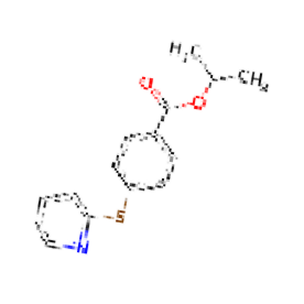 CC(C)OC(=O)c1ccc(Sc2ccccn2)cc1